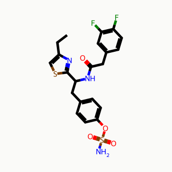 CCc1csc(C(Cc2ccc(OS(N)(=O)=O)cc2)NC(=O)Cc2ccc(F)c(F)c2)n1